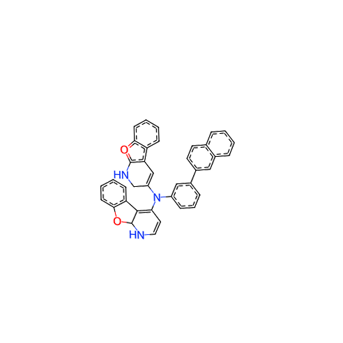 C1=CC(N(C2=Cc3c(oc4ccccc34)NC2)c2cccc(-c3ccc4ccccc4c3)c2)=C2c3ccccc3OC2N1